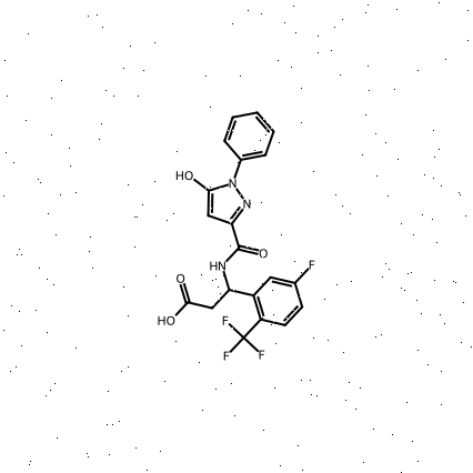 O=C(O)CC(NC(=O)c1cc(O)n(-c2ccccc2)n1)c1cc(F)ccc1C(F)(F)F